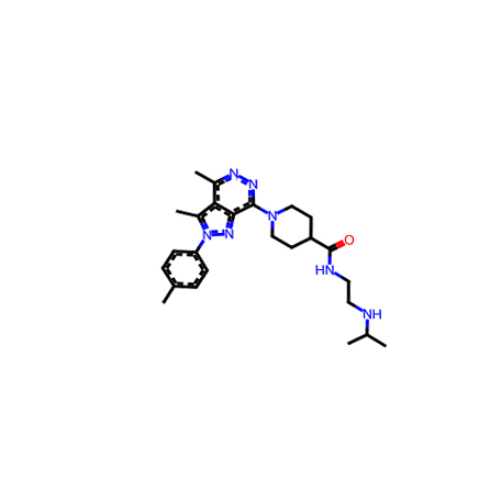 Cc1ccc(-n2nc3c(N4CCC(C(=O)NCCNC(C)C)CC4)nnc(C)c3c2C)cc1